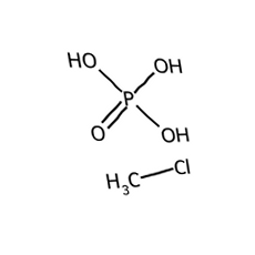 CCl.O=P(O)(O)O